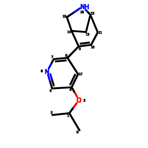 CC(C)Oc1cncc(C2=CCC3CC2CN3)c1